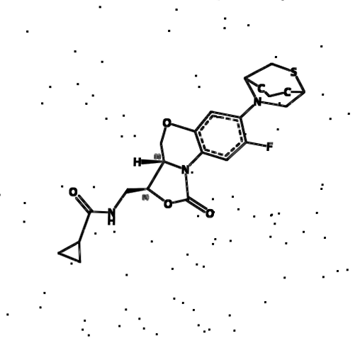 O=C(NC[C@@H]1OC(=O)N2c3cc(F)c(N4CC5CCCC4CS5)cc3OC[C@@H]12)C1CC1